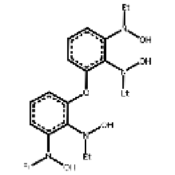 CCN(O)c1cccc(Oc2cccc(N(O)CC)c2N(O)CC)c1N(O)CC